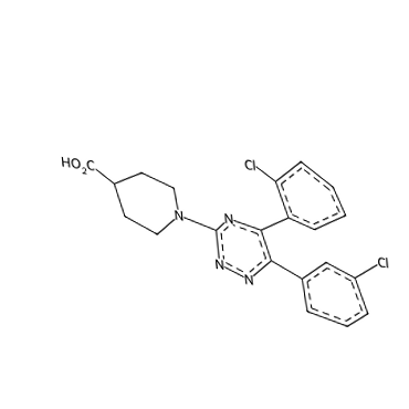 O=C(O)C1CCN(c2nnc(-c3cccc(Cl)c3)c(-c3ccccc3Cl)n2)CC1